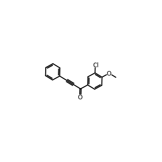 COc1ccc(C(=O)C#Cc2ccccc2)cc1Cl